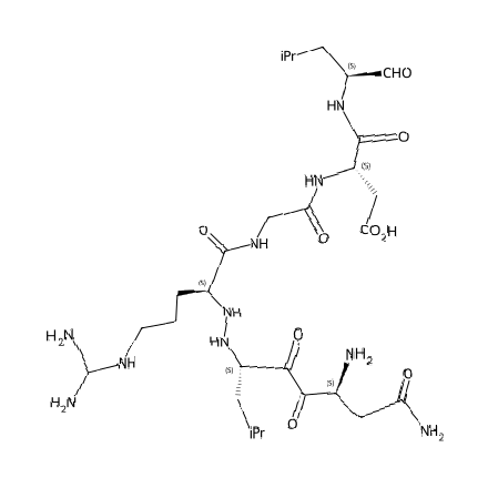 CC(C)C[C@@H](C=O)NC(=O)[C@H](CC(=O)O)NC(=O)CNC(=O)[C@H](CCCNC(N)N)NN[C@@H](CC(C)C)C(=O)C(=O)[C@@H](N)CC(N)=O